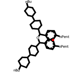 CCCCCc1ccc(C(OC(c2ccc(CCCCC)cc2)C2CCC(C3CCC(CCCC)CC3)CC2)C2CCC(C3CCC(CCCC)CC3)CC2)cc1